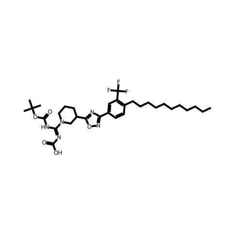 CCCCCCCCCCCc1ccc(-c2noc(C3CCCN(C(=NC(=O)O)NC(=O)OC(C)(C)C)C3)n2)cc1C(F)(F)F